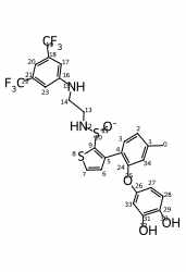 Cc1ccc(-c2ccsc2[S+]([O-])NCCNc2cc(C(F)(F)F)cc(C(F)(F)F)c2)c(Oc2ccc(O)c(O)c2)c1